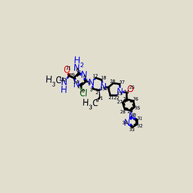 CC[C@H]1CN(c2nc(N)c(C(=O)NC)nc2Cl)CCN1C1CCN(C(=O)c2ccc(-n3cccn3)cc2)CC1